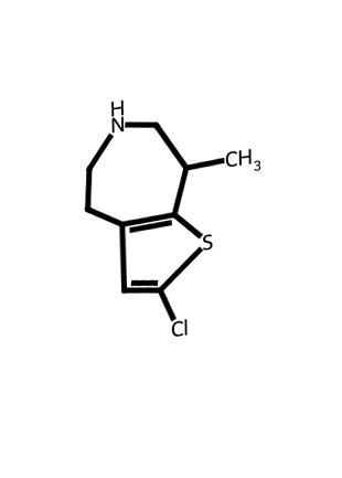 CC1CNCCc2cc(Cl)sc21